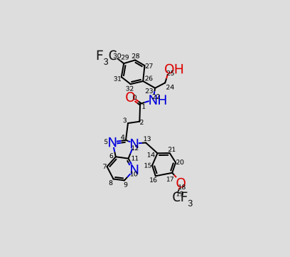 O=C(CCc1nc2cccnc2n1Cc1ccc(OC(F)(F)F)cc1)NC(CO)c1ccc(C(F)(F)F)cc1